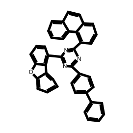 c1ccc(-c2ccc(-c3nc(-c4cccc5ccc6ccccc6c45)nc(-c4cccc5oc6ccccc6c45)n3)cc2)cc1